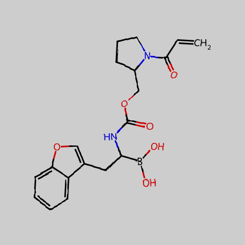 C=CC(=O)N1CCCC1COC(=O)NC(Cc1coc2ccccc12)B(O)O